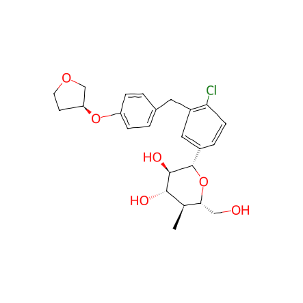 C[C@H]1[C@H](O)[C@@H](O)[C@H](c2ccc(Cl)c(Cc3ccc(O[C@H]4CCOC4)cc3)c2)O[C@@H]1CO